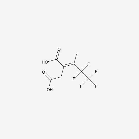 CC(=C(CC(=O)O)C(=O)O)C(F)(F)C(F)(F)F